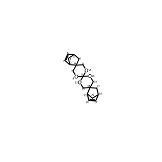 C1=CC2CC1CC21COC2(OC1)OCC1(CO2)CC2C=CC1C2